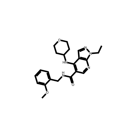 CCn1ncc2c(NC3CCOCC3)c(C(=O)NCc3ccccc3OC)cnc21